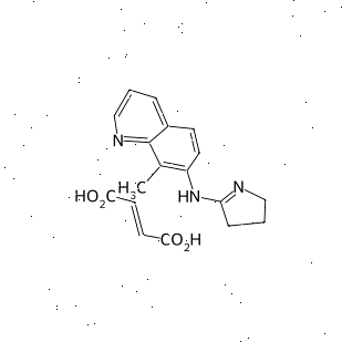 Cc1c(NC2=NCCC2)ccc2cccnc12.O=C(O)C=CC(=O)O